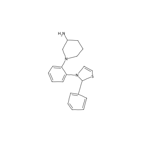 NC1CCCN(c2ccccc2N2C=CSC2c2ccccc2)C1